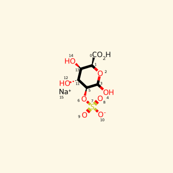 O=C(O)[C@H]1OC(O)[C@@H](OS(=O)(=O)[O-])[C@H](O)[C@H]1O.[Na+]